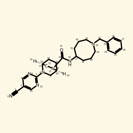 N#Cc1cnc(N2C[C@@H]3CC[C@H]2CN3C(=O)NC2CCCN(Cc3ccccc3)CCC2)nc1